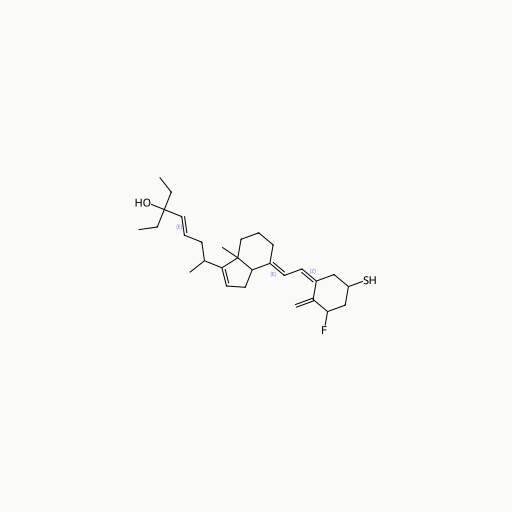 C=C1/C(=C\C=C2/CCCC3(C)C(C(C)C/C=C/C(O)(CC)CC)=CCC23)CC(S)CC1F